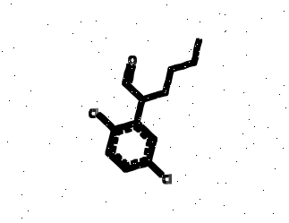 CCCCC(C=O)c1cc(Cl)ccc1Cl